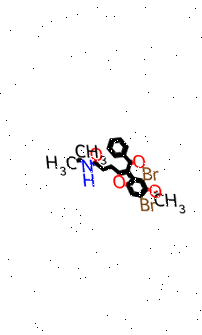 COc1c(Br)cc2oc(CCC(=O)NC(C)C)c(C(=O)c3ccccc3)c2c1Br